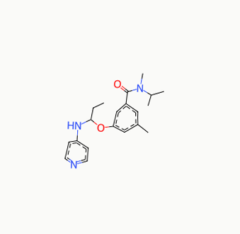 CCC(Nc1ccncc1)Oc1cc(C)cc(C(=O)N(C)C(C)C)c1